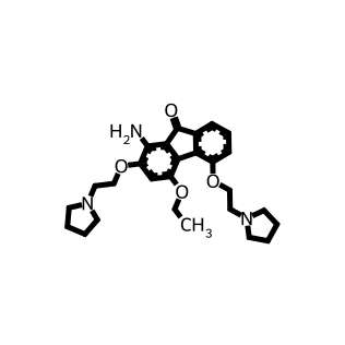 CCOc1cc(OCCN2CCCC2)c(N)c2c1-c1c(OCCN3CCCC3)cccc1C2=O